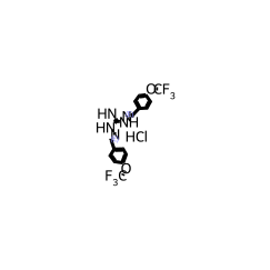 Cl.N=C(N/N=C/c1ccc(OC(F)(F)F)cc1)N/N=C/c1ccc(OC(F)(F)F)cc1